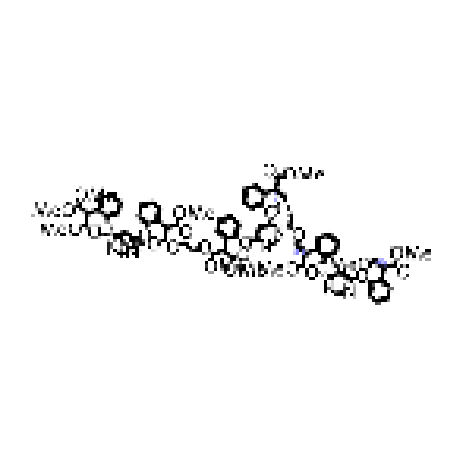 CO/C=C(/C(=O)OC)c1ccccc1Oc1cc(Oc2ccccc2/C(=C\OCCO/C=C(/C(=O)OC)c2ccccc2Oc2cc(Oc3ccccc3C(C(=O)OC)C(OC)OCCOC(OC)C(C(=O)OC)c3ccccc3Oc3cc(Oc4ccccc4C(C(=O)OC)C(OC)OC)ncn3)ncn2)C(=O)OC)ncn1